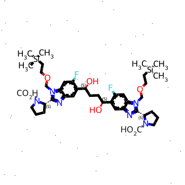 C[Si](C)(C)CCOCn1c([C@@H]2CCCN2C(=O)O)nc2cc([C@@H](O)CC[C@H](O)c3cc4nc([C@@H]5CCCN5C(=O)O)n(COCC[Si](C)(C)C)c4cc3F)c(F)cc21